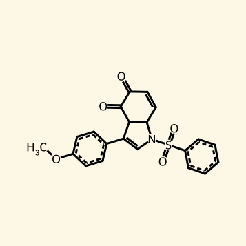 COc1ccc(C2=CN(S(=O)(=O)c3ccccc3)C3C=CC(=O)C(=O)C23)cc1